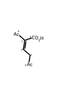 CC(=O)C/C=C(/C(C)=O)C(=O)O